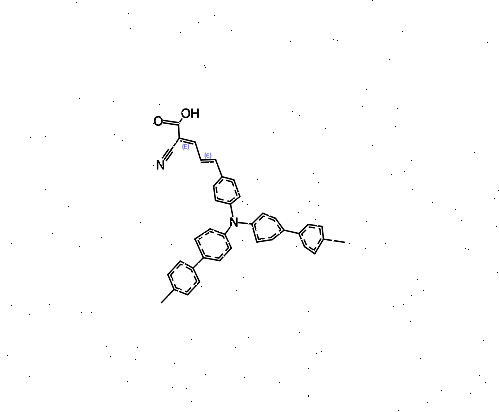 Cc1ccc(-c2ccc(N(c3ccc(/C=C/C=C(\C#N)C(=O)O)cc3)c3ccc(-c4ccc(C)cc4)cc3)cc2)cc1